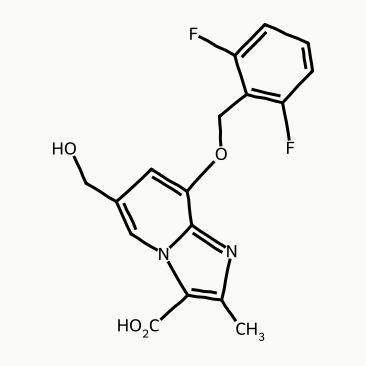 Cc1nc2c(OCc3c(F)cccc3F)cc(CO)cn2c1C(=O)O